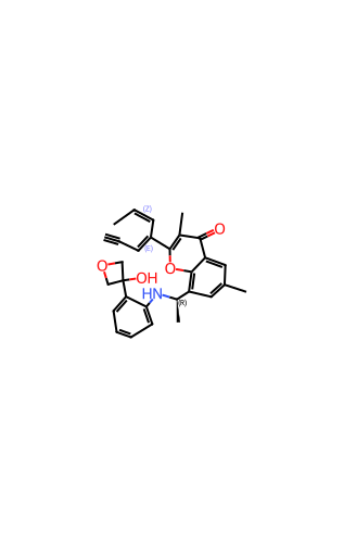 C#C/C=C(\C=C/C)c1oc2c([C@@H](C)Nc3ccccc3C3(O)COC3)cc(C)cc2c(=O)c1C